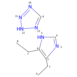 CCc1nc[nH]c1CC.c1nn[nH]n1